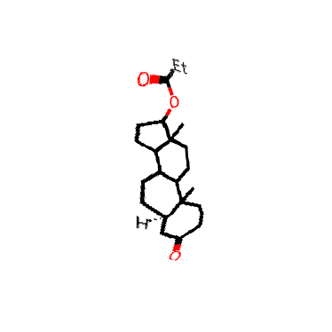 CCC(=O)OC1CCC2C3CC[C@@H]4CC(=O)CCC4(C)C3CCC12C